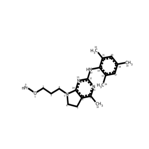 CCCOCCCN1CCc2c(C)nc(Nc3c(C)cc(C)cc3C)nc21